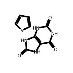 O=c1[nH]c(=O)c2[nH]c(=O)[nH]c2[nH]1.c1ccsc1